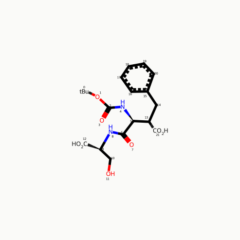 CC(C)(C)OC(=O)N[C@H](C(=O)N[C@@H](CO)C(=O)O)C(Cc1ccccc1)C(=O)O